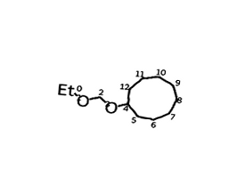 CCOCOC1CCCCCCCC1